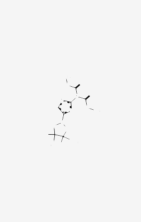 CC(C)(C)OC(=O)N(C(=O)OC(C)(C)C)c1ncc(B2OC(C)(C)C(C)(C)O2)s1